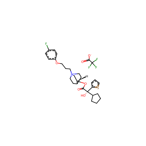 O=C(O[C@H]1C[N+]2(CCCOc3ccc(F)cc3)CCC1CC2)[C@@](O)(c1cccs1)C1CCCC1.O=C([O-])C(F)(F)F